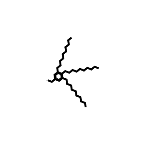 [CH2]Cc1cc(CCCCCCCCCC)c(CCCCCCCCCC)c(CCCCCCCCCC)c1